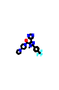 Cn1c(-c2ccc(C(F)(F)F)cc2)nc(-c2cncnc2)c1C(=O)N1CCC(N2CCCC2)CC1